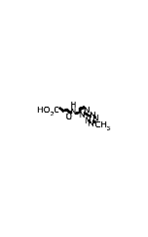 Cc1nnc(-c2nccc(CNC(=O)CCCC(=O)O)n2)nn1